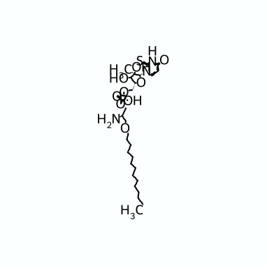 CCCCCCCCCCCCCCOC[C@@H](N)COP(=O)(O)OC[C@H]1O[C@@H](n2ccc(=O)[nH]c2=S)[C@](C)(O)C1O